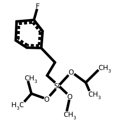 CO[Si](CCc1cccc(F)c1)(OC(C)C)OC(C)C